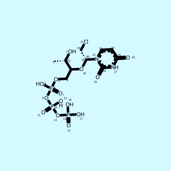 C[C@H](O)C(COP(=O)(O)OP(=O)(O)OP(=O)(O)O)O[C@H](CCl)n1ccc(=O)[nH]c1=O